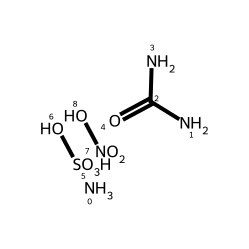 N.NC(N)=O.O=S(=O)(O)O.O=[N+]([O-])O